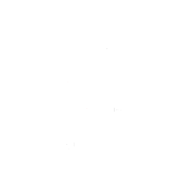 CCCCCCc1cc2c(cc1S(=O)(=O)CCCC(=O)O)C(=O)CC2